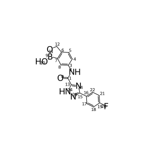 O=C(Nc1ccc2c(c1)B(O)OC2)c1nc(-c2ccc(F)cc2)n[nH]1